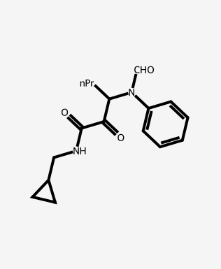 CCCC(C(=O)C(=O)NCC1CC1)N(C=O)c1ccccc1